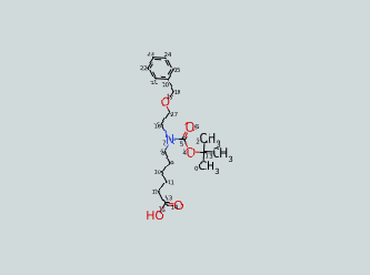 CC(C)(C)OC(=O)N(CCCCCC(=O)O)CCOCc1ccccc1